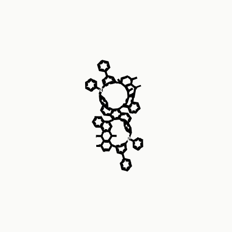 CC1C=CC2(C)C3=C1C(C)c1c(cc(c4ccccc14)-c1c4ccc5cc6ccc5c4c(c4ccc5cc(ccc5c14)N(c1ccccc1)c1cc(-c4ccccc4)cc2c1)-c1cc2c(c4ccccc14)C(C)C1=C(C2C)C(C)(C=CC1C)c1cc(-c2ccccc2)cc(c1)N6c1ccccc1)C3C